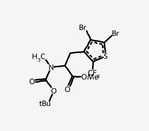 COC(=O)C(Cc1c(C(F)(F)F)sc(Br)c1Br)N(C)C(=O)OC(C)(C)C